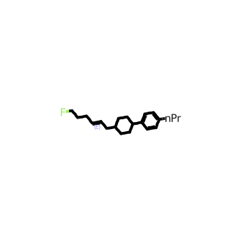 CCCc1ccc(C2CCC(C/C=C/CCCF)CC2)cc1